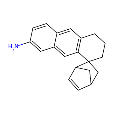 Nc1ccc2cc3c(cc2c1)C1(CCC3)CC2C=CC1C2